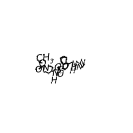 CCOC(=O)N1CCC(NS(=O)(=O)c2ccc(CNCc3ncc[nH]3)c3ccccc23)CC1